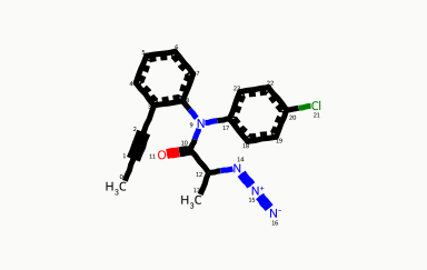 CC#Cc1ccccc1N(C(=O)C(C)N=[N+]=[N-])c1ccc(Cl)cc1